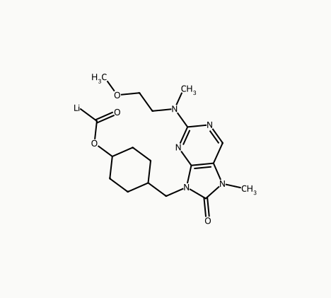 [Li][C](=O)OC1CCC(Cn2c(=O)n(C)c3cnc(N(C)CCOC)nc32)CC1